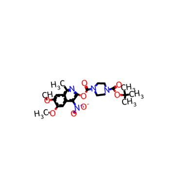 COc1cc2c(C)nc(OC(=O)N3CCN(C(=O)OC(C)(C)C)CC3)c([N+](=O)[O-])c2cc1OC